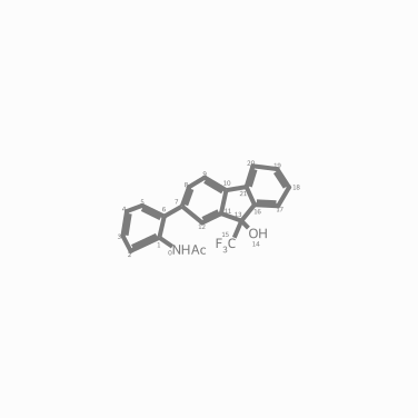 CC(=O)Nc1ccccc1-c1ccc2c(c1)C(O)(C(F)(F)F)c1ccccc1-2